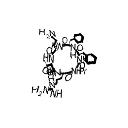 CC(C)[C@@H]1NC(=O)[C@@H](CCCNC(=N)N)NC(=O)[C@H]([C@@H](C)O)NC(=O)[C@@H](CCCN)NC(=O)[C@H](Cc2ccccc2)NC(=O)[C@@H](Cc2ccccc2)NC1=O